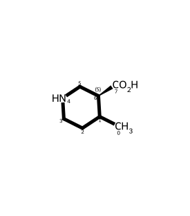 CC1CCNC[C@H]1C(=O)O